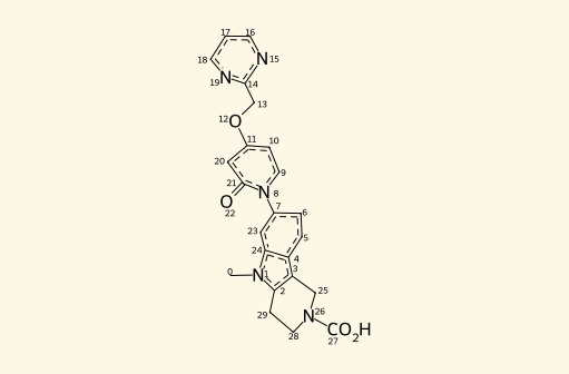 Cn1c2c(c3ccc(-n4ccc(OCc5ncccn5)cc4=O)cc31)CN(C(=O)O)CC2